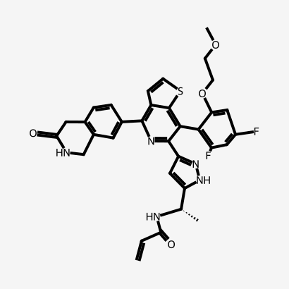 C=CC(=O)N[C@@H](C)c1cc(-c2nc(-c3ccc4c(c3)CNC(=O)C4)c3ccsc3c2-c2c(F)cc(F)cc2OCCOC)n[nH]1